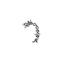 CC1(C)C(NC(=O)c2ccc(N3CCC(CN4CCN(c5cc(F)c6c(c5)C(=O)N(N5CCC(=O)NC5=O)C6=O)CC4)CC3)nc2)C(C)(C)C1Oc1ccc(C#N)c(Cl)c1